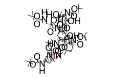 C=C(C)OC(=O)N[C@@H]1CC=C(CNC[C@@H]2C[C@H](NC(=O)OC(C)(C)C)CN2C(=O)OC(C)(C)C)OC1[C@H]1[C@H](O)[C@@H](O[C@H]2OC[C@](C)(O)[C@H](N(C)C(=O)OC(C)(C)C)[C@H]2O)[C@H](NC(=O)[C@@H](O)CNC(=O)OC(C)(C)C)C[C@@H]1NC(=O)OC(C)(C)C